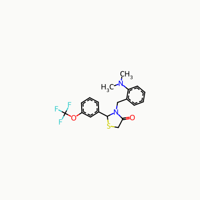 CN(C)c1ccccc1CN1C(=O)CSC1c1cccc(OC(F)(F)F)c1